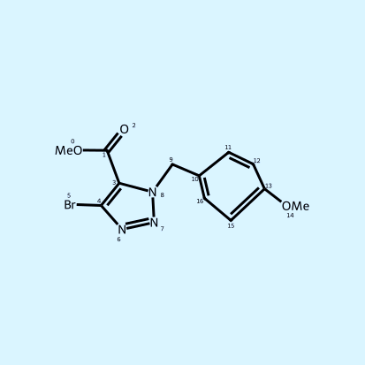 COC(=O)c1c(Br)nnn1Cc1ccc(OC)cc1